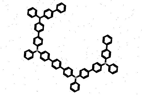 c1ccc(-c2ccc(C(c3ccccc3)c3ccc(-c4ccc(N(c5ccccc5)c5ccc(-c6ccc(-c7ccc(N(c8ccccc8)c8ccc(-c9ccc(N(c%10ccccc%10)c%10ccc(-c%11ccccc%11)cc%10)cc9)cc8)cc7)cc6)cc5)cc4)cc3)cc2)cc1